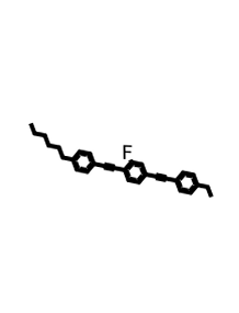 CCCCCCc1ccc(C#Cc2ccc(C#Cc3ccc(CC)cc3)cc2F)cc1